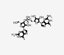 Nc1nc2c(ncn2[C@@H]2O[C@H](COP(=O)(O)OC3C(O)[C@H](n4cnc5c(=S)[nH]c(N)nc54)O[C@@H]3CO)C(O)C2O)c(=S)[nH]1